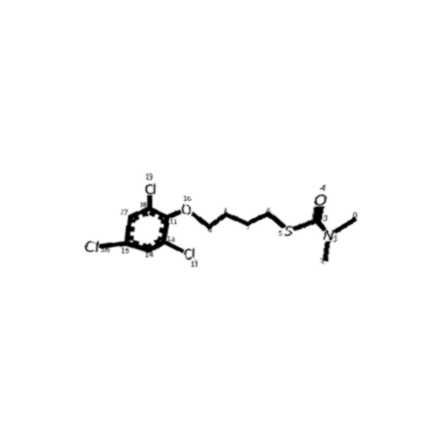 CN(C)C(=O)SCCCCOc1c(Cl)cc(Cl)cc1Cl